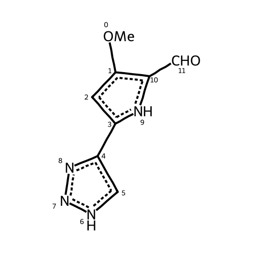 COc1cc(-c2c[nH]nn2)[nH]c1C=O